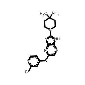 CC1(N)CCN(c2nc3nc(Sc4ccnc(Br)c4)cnc3[nH]2)CC1